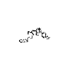 COCOc1c(F)cc2cnn(-c3ccc(Br)cc3)c2c1F